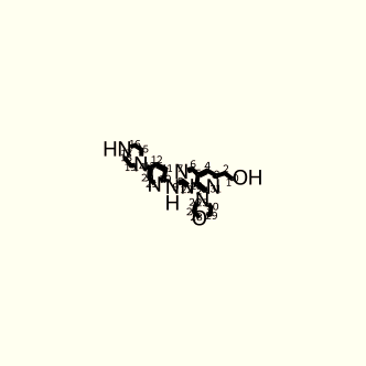 OCCc1cc2cnc(Nc3ccc(N4CCNCC4)cn3)nc2c(N2CCOCC2)n1